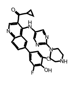 O=C(c1cnc2ccc(-c3cc(F)c(O)c(Cl)c3)cc2c1Nc1cnc(N2CCNCC2)nc1)C1CC1